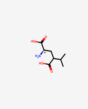 CC(C)C(C[C@@H](N)C(=O)O)C(=O)O